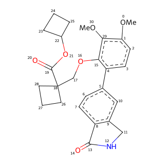 COc1ccc(-c2ccc3c(c2)CNC3=O)c(OCC2(C(=O)OC3CCC3)CCC2)c1OC